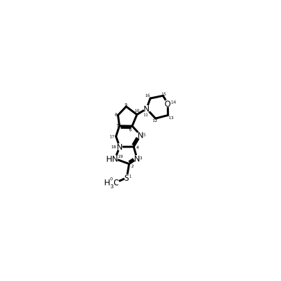 CSC1=NC2=NC3=C(CCC3N3CCOCC3)CN2N1